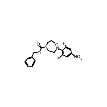 O=C(OCc1ccccc1)N1CCON(c2c(F)cc([N+](=O)[O-])cc2F)CC1